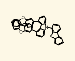 c1ccc2c(c1)oc1cc(-c3cccc4c3c3c(-c5ccc6c(c5)oc5ccccc56)cccc3n4-c3cccc4c3sc3ccccc34)ccc12